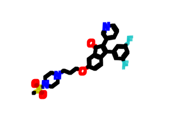 CS(=O)(=O)N1CCN(CCCOc2ccc3c(c2)C(=O)C(c2cccnc2)=C3c2cc(F)cc(F)c2)CC1